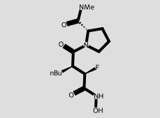 CCCC[C@@H](C(=O)N1CCC[C@H]1C(=O)NC)[C@@H](F)C(=O)NO